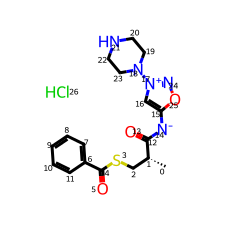 C[C@H](CSC(=O)c1ccccc1)C(=O)[N-]c1c[n+](N2CCNCC2)no1.Cl